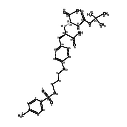 Cc1ccc(S(=O)(=O)OCCCOc2ccc(C[C@@H](C[C@@H](NC(=O)OC(C)(C)C)C(=O)O)C(=O)O)cc2)cc1